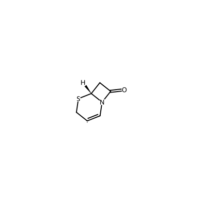 O=C1C[C@H]2SC[C]=CN12